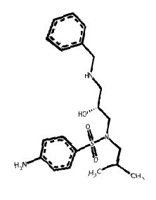 CC(C)CN(C[C@H](O)CNCc1ccccc1)S(=O)(=O)c1ccc(N)cc1